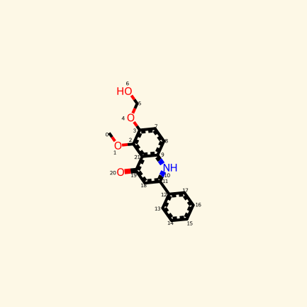 COc1c(OCO)ccc2[nH]c(-c3ccccc3)cc(=O)c12